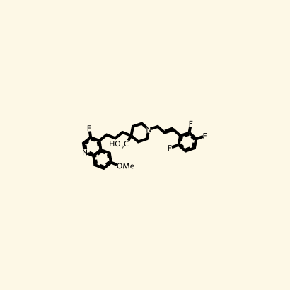 COc1ccc2ncc(F)c(CCCC3(C(=O)O)CCN(C/C=C/c4c(F)ccc(F)c4F)CC3)c2c1